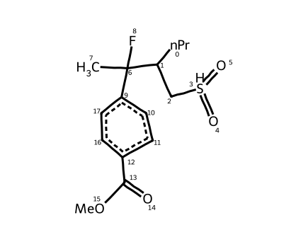 CCCC(C[SH](=O)=O)C(C)(F)c1ccc(C(=O)OC)cc1